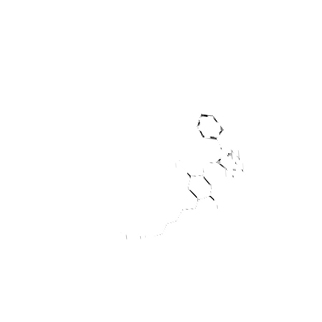 CCCCCCCCCCCCCCCC1=CC(=O)C(Sc2nnnn2-c2ccccc2)=CC1=O